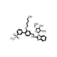 CS(=O)(=O)c1cccc(-c2ccc(CNc3nc4ccccc4n3[C@@H]3O[C@H](CO)[C@@H](O)[C@H]3O)cc2OCCCCO)c1